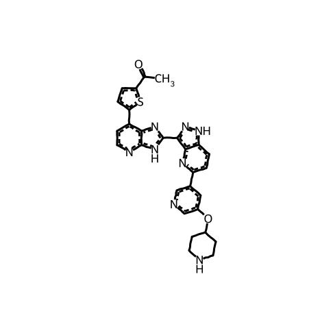 CC(=O)c1ccc(-c2ccnc3[nH]c(-c4n[nH]c5ccc(-c6cncc(OC7CCNCC7)c6)nc45)nc23)s1